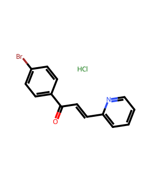 Cl.O=C(C=Cc1ccccn1)c1ccc(Br)cc1